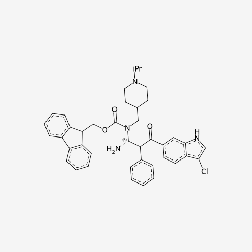 CC(C)N1CCC(CN(C(=O)OCC2c3ccccc3-c3ccccc32)[C@@H](N)C(C(=O)c2ccc3c(Cl)c[nH]c3c2)c2ccccc2)CC1